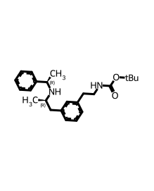 C[C@H](Cc1cccc(CCNC(=O)OC(C)(C)C)c1)N[C@H](C)c1ccccc1